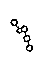 c1ccc(N2CCN(c3cccc4c3ccn4-c3ccccc3)CC2)cc1